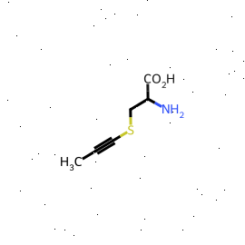 CC#CSCC(N)C(=O)O